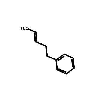 [CH2]C=CC[CH]c1ccccc1